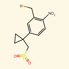 O=[N+]([O-])c1ccc(C2(C[SH](=O)=O)CC2)cc1CBr